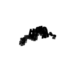 NC(=O)c1ccc(Oc2ccc3c(c2)CCC3NCCC2CCCC2)nc1